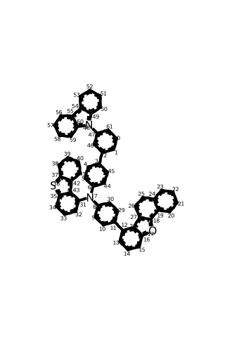 c1cc(-c2ccc(N(c3ccc(-c4cccc5oc6c7ccccc7ccc6c45)cc3)c3cccc4sc5ccccc5c34)cc2)cc(-n2c3ccccc3c3ccccc32)c1